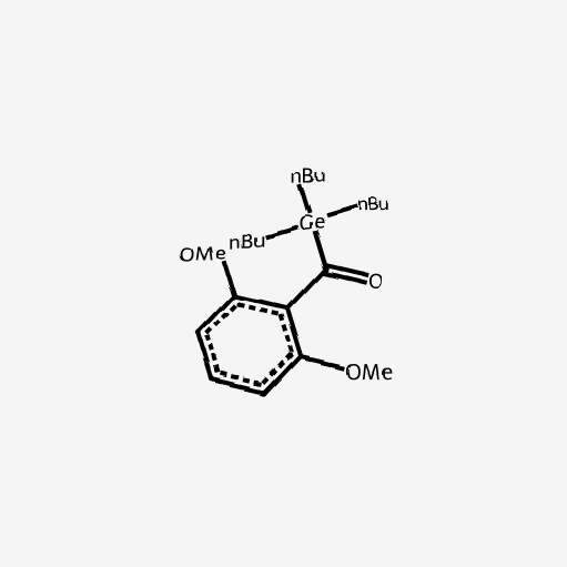 CCC[CH2][Ge]([CH2]CCC)([CH2]CCC)[C](=O)c1c(OC)cccc1OC